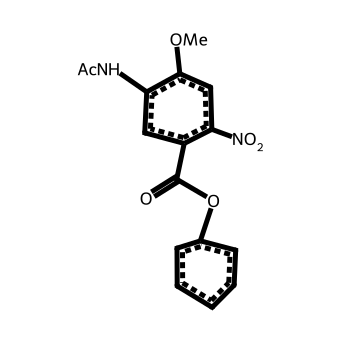 COc1cc([N+](=O)[O-])c(C(=O)Oc2ccccc2)cc1NC(C)=O